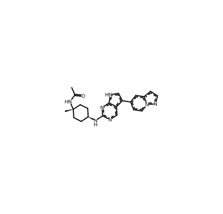 CC(=O)N[C@]1(C)CC[C@@H](Nc2ncc3c(-c4ccn5nccc5c4)c[nH]c3n2)CC1